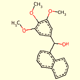 COc1cc(C(O)c2cccc3ccccc23)cc(OC)c1OC